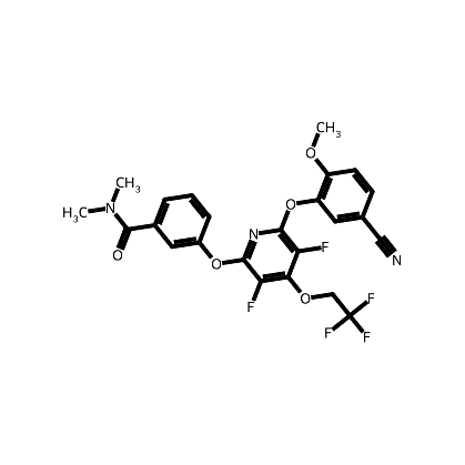 COc1ccc(C#N)cc1Oc1nc(Oc2cccc(C(=O)N(C)C)c2)c(F)c(OCC(F)(F)F)c1F